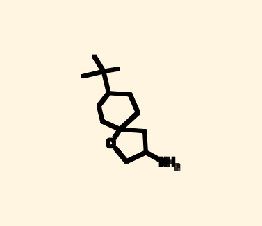 CC(C)(C)C1CCC2(CC1)CC(N)CO2